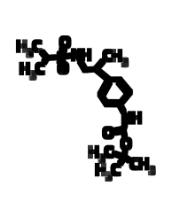 CC(CNS(=O)(=O)C(C)C)c1ccc(NC(=O)OC(C)(C)C)cc1